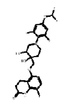 O=C1CCc2c(OCC3(O)CCN(c4c(F)cc(OC(F)F)cc4F)CC3O)ccc(F)c2N1